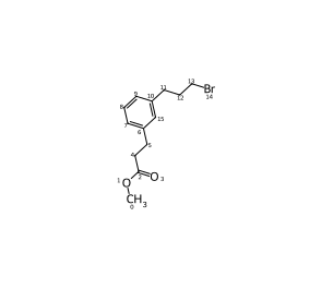 COC(=O)CCc1cccc(CCCBr)c1